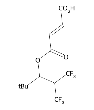 CC(C)(C)C(OC(=O)C=CC(=O)O)C(C(F)(F)F)C(F)(F)F